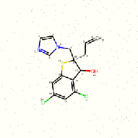 C=CC[C@@]1(Cn2ccnc2)Sc2cc(Cl)cc(Cl)c2[C@@H]1O